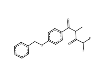 CC(C(=O)c1ccc(OCc2ccccc2)cc1)C(=O)C(F)F